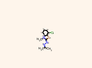 CC(C)=NN=c1sc2c(Cl)cccc2n1C